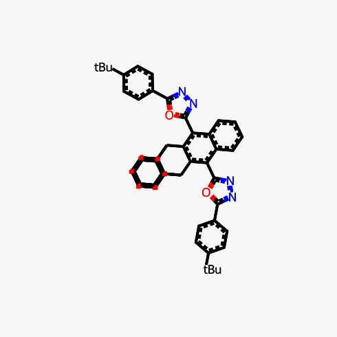 CC(C)(C)c1ccc(-c2nnc(-c3c4c(c(-c5nnc(-c6ccc(C(C)(C)C)cc6)o5)c5ccccc35)C3c5ccccc5C4c4ccccc43)o2)cc1